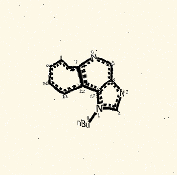 CCCCn1cnc2cnc3ccccc3c21